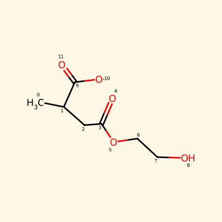 CC(CC(=O)OCCO)C([O])=O